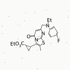 CCOC(=O)C1CC1c1c(C)sc2nc(CN(CC)c3ccc(F)cc3)cc(=O)n12